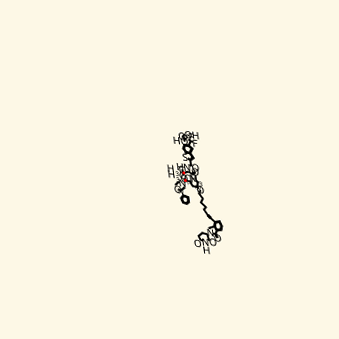 CC(C)(C)C(NC(=O)c1cc2cc(C(F)(F)P(=O)(O)O)ccc2s1)C(=O)N1C[C@H](OCCCCCC#Cc2cccc3c2CN(C2CCC(=O)NC2=O)C3=O)C[C@H]1C(=O)N1CCO[C@H](c2ccccc2)C1